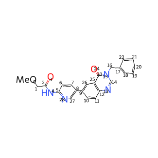 COCC(=O)Nc1ccc(-c2ccc3ncn(Cc4ccccc4)c(=O)c3c2)cn1